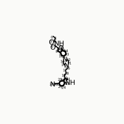 CCC(=O)NC(=O)c1cc2cc(N3CCN(CCCCc4c[nH]c5ccc(C#N)cc45)CC3)ccc2o1